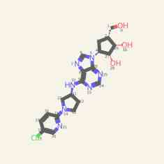 OC[C@H]1C[C@@H](n2cnc3c(N[C@H]4CCN(c5ccc(Cl)cn5)C4)ncnc32)[C@@H](O)[C@H]1O